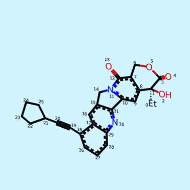 CC[C@@]1(O)C(=O)OCc2c1cc1n(c2=O)Cc2cc3c(C#CC4CCCC4)cccc3nc2-1